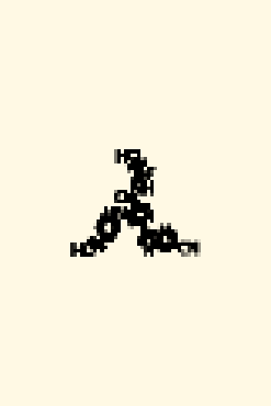 CC(C)(O)[C@H](F)CNC(=O)c1cnc(-c2cnc3cc(C#N)cnn23)cc1N[C@H]1CC[C@H](C(C)(C)O)CC1